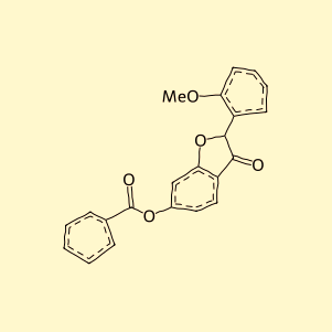 COc1ccccc1C1Oc2cc(OC(=O)c3ccccc3)ccc2C1=O